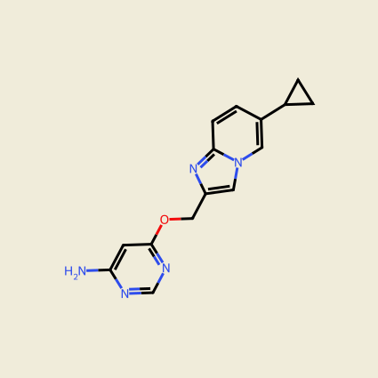 Nc1cc(OCc2cn3cc(C4CC4)ccc3n2)ncn1